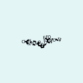 C[Si](C)(C)CCOCn1ncc(OCC2CCC(CC(=O)N3CCN(c4ncc(Cl)cn4)CC3)O2)c(C(F)(F)F)c1=O